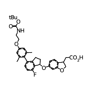 Cc1cc(OCCNC(=O)OC(C)(C)C)cc(C)c1-c1ccc(F)c2c1CC[C@H]2Oc1ccc2c(c1)OCC2CC(=O)O